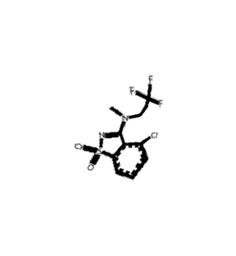 CN(CC(F)(F)F)C1=NS(=O)(=O)c2cccc(Cl)c21